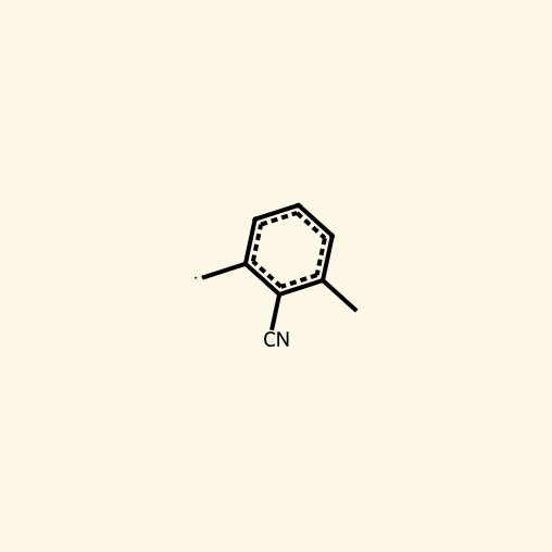 [CH2]c1cccc(C)c1C#N